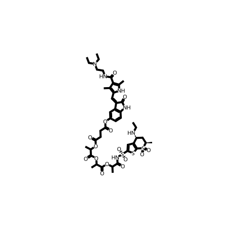 CCN[C@@H]1C[C@@H](C)S(=O)(=O)c2sc(S(=O)(=O)NC(=O)C(C)OC(=O)C(C)OC(=O)C(C)OC(=O)CCC(=O)Oc3ccc4c(c3)/C(=C/c3[nH]c(C)c(C(=O)NCCN(CC)CC)c3C)C(=O)N4)cc21